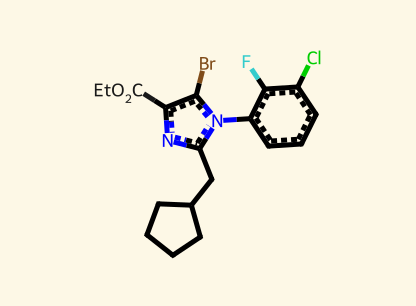 CCOC(=O)c1nc(CC2CCCC2)n(-c2cccc(Cl)c2F)c1Br